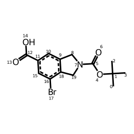 CC(C)(C)OC(=O)N1Cc2cc(C(=O)O)cc(Br)c2C1